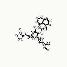 C=CC(=O)C1CN(c2nc(OCC3CCCN3C)nc3c2CCN(c2cccc4cccc(Cl)c24)C3)C1